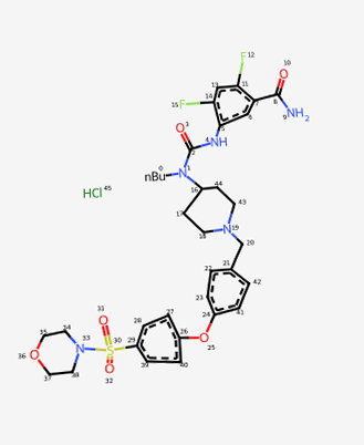 CCCCN(C(=O)Nc1cc(C(N)=O)c(F)cc1F)C1CCN(Cc2ccc(Oc3ccc(S(=O)(=O)N4CCOCC4)cc3)cc2)CC1.Cl